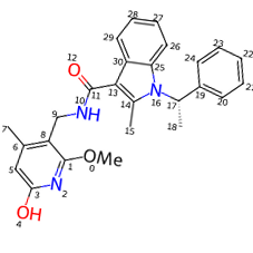 COc1nc(O)cc(C)c1CNC(=O)c1c(C)n([C@@H](C)c2ccccc2)c2ccccc12